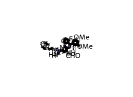 COc1cc(OC)c(F)c(/C(=C/c2cnc(/C(C=N)=C/NCCN3CCOCC3)cc2NC=O)C2CCOC2)c1F